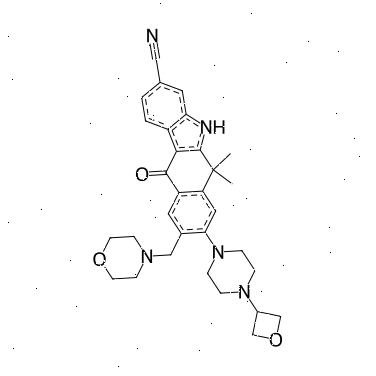 CC1(C)c2cc(N3CCN(C4COC4)CC3)c(CN3CCOCC3)cc2C(=O)c2c1[nH]c1cc(C#N)ccc21